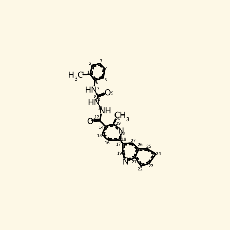 Cc1ccccc1NC(=O)NNC(=O)c1ccc(-c2cnc3ccccc3c2)nc1C